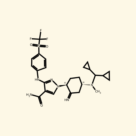 CN(C(C1CC1)C1CC1)[C@H]1CC[C@H](n2cc(C(N)=O)c(Nc3ccc(S(=O)(=O)C(F)(F)F)cc3)n2)C(=N)C1